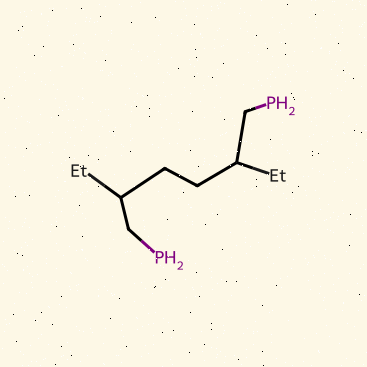 CCC(CP)CCC(CC)CP